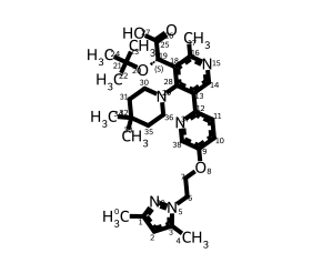 Cc1cc(C)n(CCOc2ccc(-c3cnc(C)c([C@H](OC(C)(C)C)C(=O)O)c3N3CCC(C)(C)CC3)nc2)n1